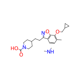 CNC.Cc1ccc2c(CCC3CCN(C(=O)O)CC3)noc2c1OCC1CC1